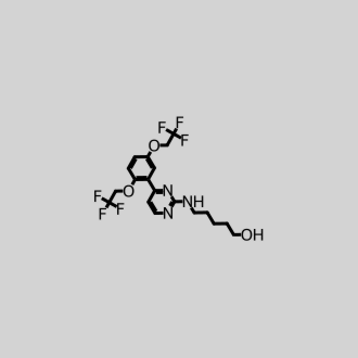 OCCCCCNc1nccc(-c2cc(OCC(F)(F)F)ccc2OCC(F)(F)F)n1